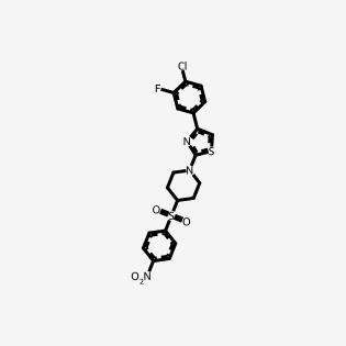 O=[N+]([O-])c1ccc(S(=O)(=O)C2CCN(c3nc(-c4ccc(Cl)c(F)c4)cs3)CC2)cc1